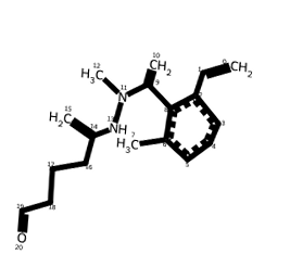 C=Cc1cccc(C)c1C(=C)N(C)NC(=C)CCCC=O